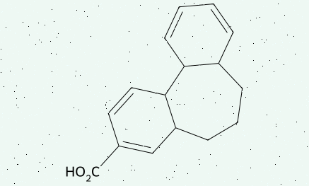 O=C(O)C1=CC2CCCC3C=CC=CC3C2C=C1